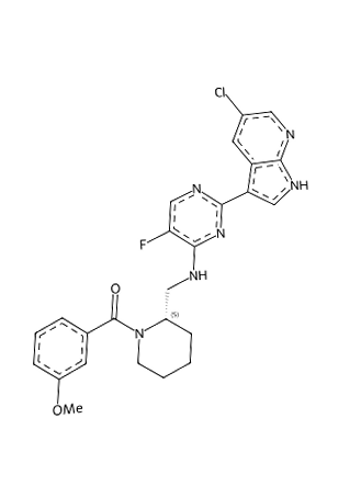 COc1cccc(C(=O)N2CCCC[C@H]2CNc2nc(-c3c[nH]c4ncc(Cl)cc34)ncc2F)c1